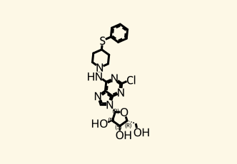 OC[C@H]1O[C@@H](n2cnc3c(NN4CCC(Sc5ccccc5)CC4)nc(Cl)nc32)[C@H](O)[C@@H]1O